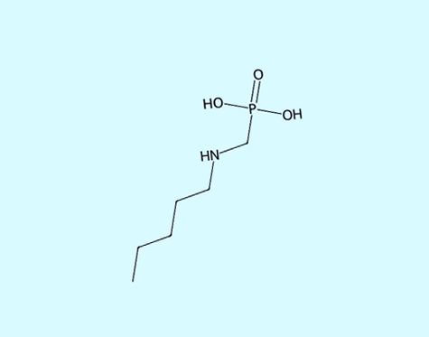 CCCCCNCP(=O)(O)O